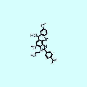 COCCn1c(-c2ccc(C(C)C)cc2)nc2c(Br)c(C(O)c3cccc(OC)c3)cc(OC)c21